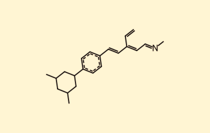 C=CC(/C=C/c1ccc(C2CC(C)CC(C)C2)cc1)=C\C=N\C